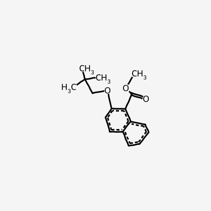 COC(=O)c1c(OCC(C)(C)C)ccc2ccccc12